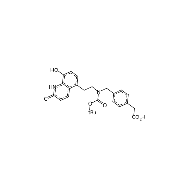 CC(C)(C)OC(=O)N(CCc1ccc(O)c2[nH]c(=O)ccc12)Cc1ccc(CC(=O)O)cc1